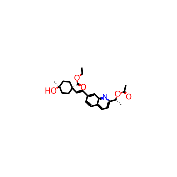 CCOC(=O)[C@]1(/C=C/c2ccc3ccc([C@@H](C)OC(C)=O)nc3c2)CC[C@@](C)(O)CC1